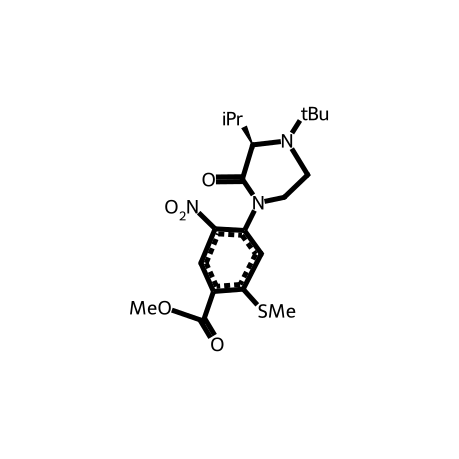 COC(=O)c1cc([N+](=O)[O-])c(N2CCN(C(C)(C)C)[C@H](C(C)C)C2=O)cc1SC